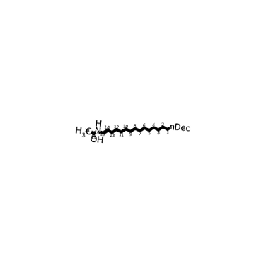 CCCCCCCCCCCCCCCCCCCCCCCC=CNC(C)O